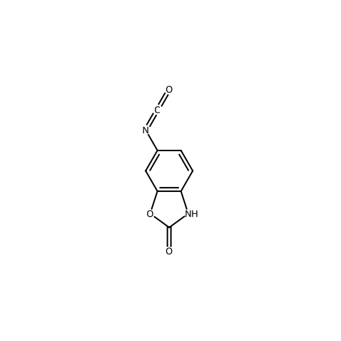 O=C=Nc1ccc2[nH]c(=O)oc2c1